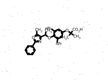 CCCc1cc(OC(C)(C)C(=O)O)cc(CCC)c1OC(C)c1nc(-c2ccccc2)oc1C